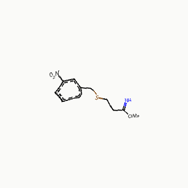 COC(=N)CCSCc1cccc([N+](=O)[O-])c1